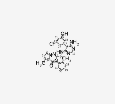 Cc1ccn2nc(C(C)Nc3ncnc(N)c3-c3cc(O)cc(Cl)c3)n(-c3ccccc3)c(=O)c12